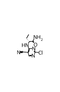 CC[C@@H](Nc1nc(Cl)ncc1C#N)C(N)=O